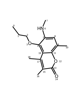 CCCOc1c(NC)cc(C)c2oc(=O)c(C)c(C)c12